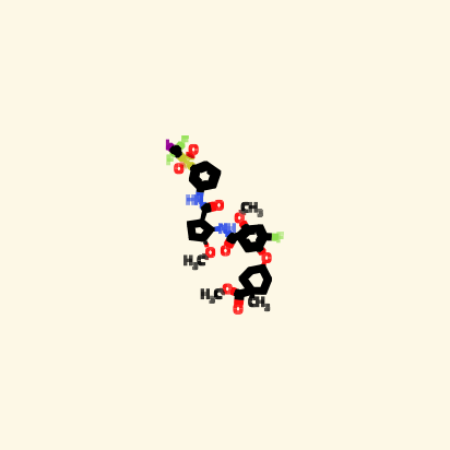 COc1cc(F)c(O[C@H]2CC[C@@](C)(C(=O)OC)CC2)cc1C(=O)N[C@H]1[C@H](OC)CC[C@H]1C(=O)Nc1cccc(S(=O)(=O)C(F)(F)I)c1